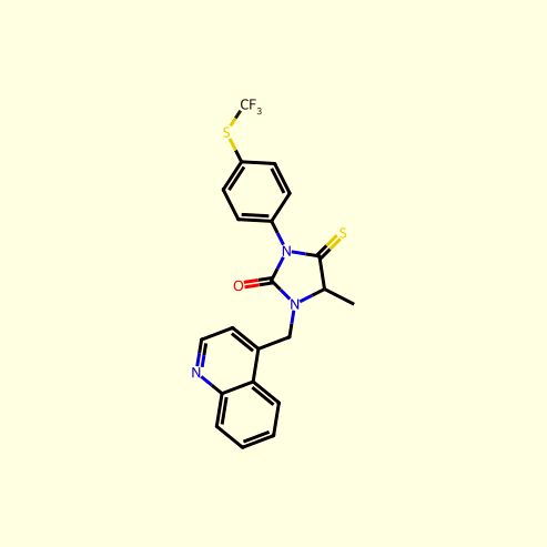 CC1C(=S)N(c2ccc(SC(F)(F)F)cc2)C(=O)N1Cc1ccnc2ccccc12